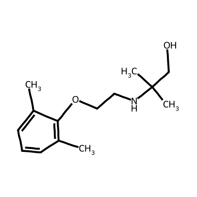 Cc1cccc(C)c1OCCNC(C)(C)CO